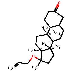 C=CCOC1(C)CC[C@H]2[C@@H]3CCC4CC(=O)CC[C@]4(C)[C@@H]3CC[C@@]21C